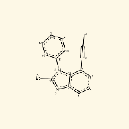 CC#Cc1cccc2nc(CC)n(-c3ccccc3)c12